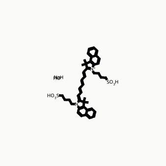 CC1(C)C(=CC=CC=CC=CC2=[N+](CCCCS(=O)(=O)O)c3ccc4ccccc4c3C2(C)C)N(CCCCS(=O)(=O)O)c2ccc3ccccc3c21.[NaH].[OH-]